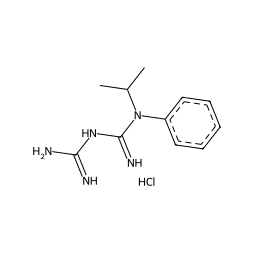 CC(C)N(C(=N)NC(=N)N)c1ccccc1.Cl